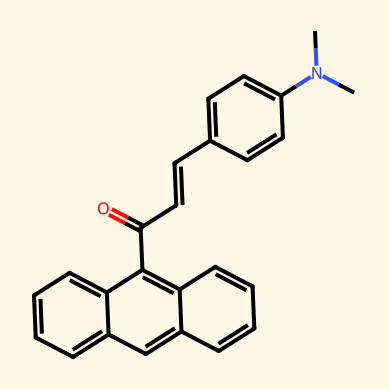 CN(C)c1ccc(C=CC(=O)c2c3ccccc3cc3ccccc23)cc1